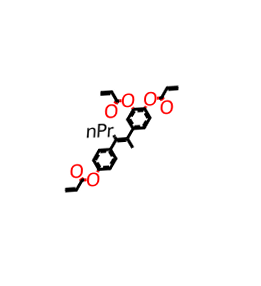 C=CC(=O)Oc1ccc(/C(CCC)=C(\C)c2ccc(OC(=O)C=C)c(OC(=O)C=C)c2)cc1